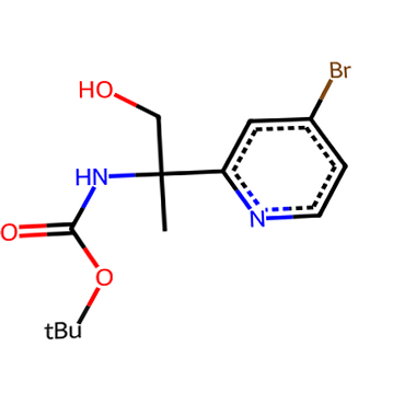 CC(C)(C)OC(=O)NC(C)(CO)c1cc(Br)ccn1